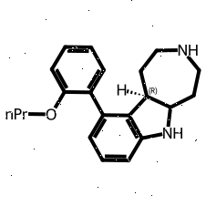 CCCOc1ccccc1-c1cccc2c1[C@H]1CCNCCC1N2